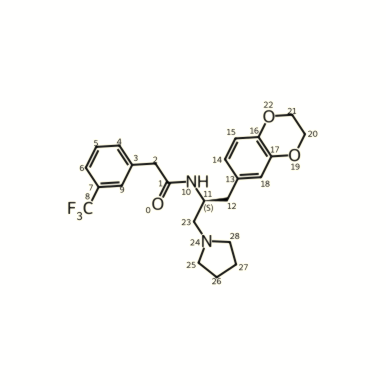 O=C(Cc1cccc(C(F)(F)F)c1)N[C@@H](Cc1ccc2c(c1)OCCO2)CN1CCCC1